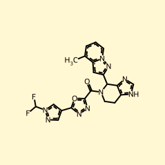 Cc1cccn2nc(C3c4nc[nH]c4CCN3C(=O)c3nnc(-c4cnn(C(F)F)c4)o3)cc12